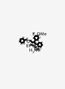 CCn1nc(-c2ccccc2S(N)(=O)=O)c(-c2ccc(OC)c(F)c2)c1COCc1ccccc1